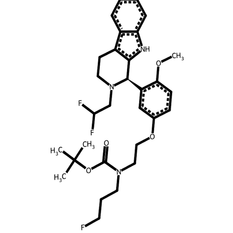 COc1ccc(OCCN(CCCF)C(=O)OC(C)(C)C)cc1[C@@H]1c2[nH]c3ccccc3c2CCN1CC(F)F